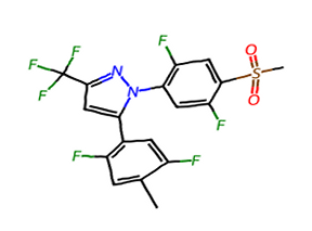 Cc1cc(F)c(-c2cc(C(F)(F)F)nn2-c2cc(F)c(S(C)(=O)=O)cc2F)cc1F